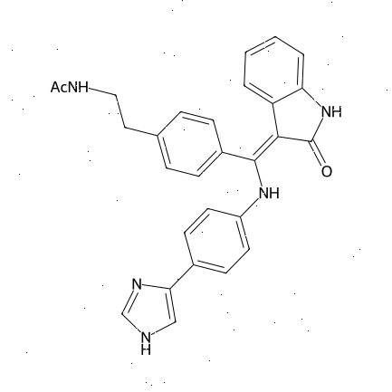 CC(=O)NCCc1ccc(/C(Nc2ccc(-c3c[nH]cn3)cc2)=C2/C(=O)Nc3ccccc32)cc1